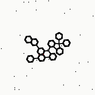 c1ccc(-c2ccc(-c3ccccc3N(c3cccc(-c4ccc5ccccc5c4)c3)c3cccc4c3-c3ccccc3C4(c3ccccc3)c3ccccc3)cc2)cc1